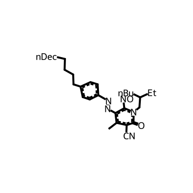 CCCCCCCCCCCCCCc1ccc(/N=N/c2c(C)c(C#N)c(=O)n(CC(CC)CCCC)c2N=O)cc1